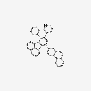 c1ccc(-c2c(-c3cccnc3)cc(-c3ccc4c(ccc5ccccc54)c3)c3c2-c2cccc4cccc-3c24)cc1